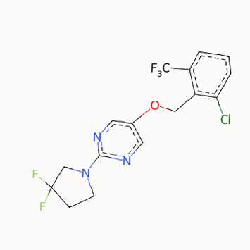 FC1(F)CCN(c2ncc(OCc3c(Cl)cccc3C(F)(F)F)cn2)C1